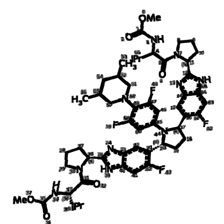 COC(=O)NC(C(=O)N1CCC[C@H]1c1nc2cc([C@H]3CC[C@H](c4cc5nc([C@@H]6CCCN6C(=O)[C@@H](NC(=O)OC)C(C)C)[nH]c5cc4F)N3c3cc(F)c(N4CC(C)CC(C)C4)c(F)c3)c(F)cc2[nH]1)C(C)C